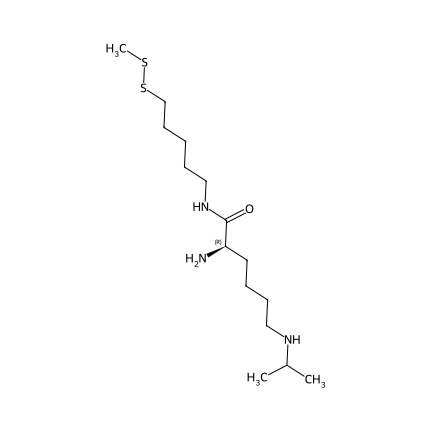 CSSCCCCCNC(=O)[C@H](N)CCCCNC(C)C